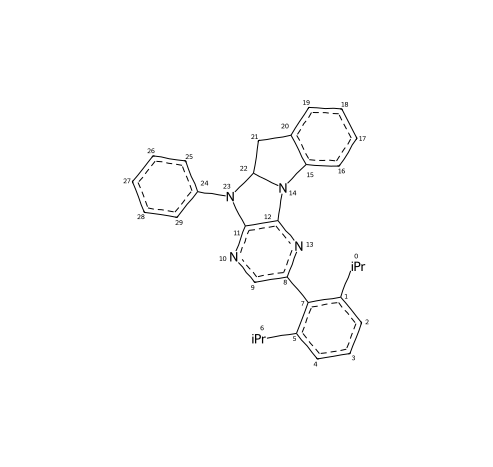 CC(C)c1cccc(C(C)C)c1-c1cnc2c(n1)N1c3ccccc3CC1N2c1ccccc1